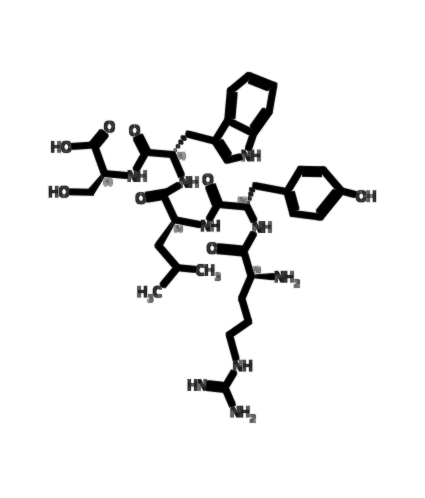 CC(C)C[C@H](NC(=O)[C@H](Cc1ccc(O)cc1)NC(=O)[C@@H](N)CCCNC(=N)N)C(=O)N[C@@H](Cc1c[nH]c2ccccc12)C(=O)N[C@@H](CO)C(=O)O